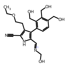 CCOCCc1c(C#N)[nH]c(/C=N/CO)c1-c1ccc(CO)c(CO)c1CO